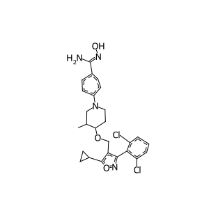 CC1CN(c2ccc(/C(N)=N/O)cc2)CCC1OCc1c(-c2c(Cl)cccc2Cl)noc1C1CC1